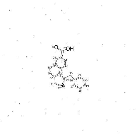 O=C(O)c1ccc2c(ccc3ccnc(Cc4ccccc4)c32)c1